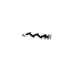 CC(=O)CCC=C(C)CCC=C(C)CCC=C(C)CCC=C(C)CCC=C(C)C(=O)N(C(C)C)C(C)C